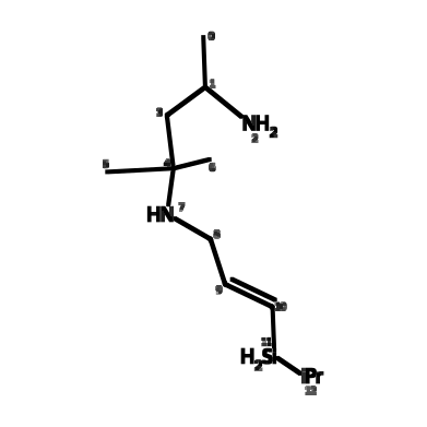 CC(N)CC(C)(C)NCC=C[SiH2]C(C)C